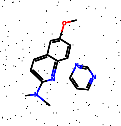 COc1ccc2nc(N(C)C)ccc2c1.c1cncnc1